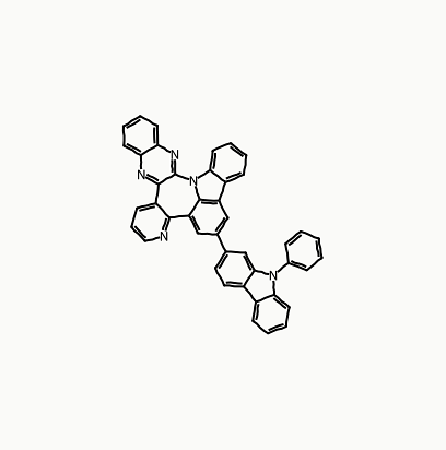 c1ccc(-n2c3ccccc3c3ccc(-c4cc5c6c(c4)c4ccccc4n6-c4nc6ccccc6nc4-c4cccnc4-5)cc32)cc1